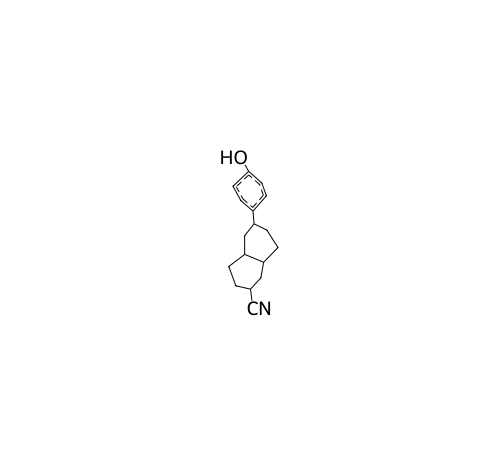 N#CC1CCC2CC(c3ccc(O)cc3)CCC2C1